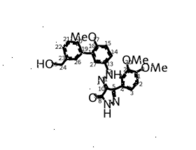 COc1ccc(C2=NNC(=O)/C2=N/Nc2ccc(OC)c(-c3cccc(CO)c3)c2)cc1OC